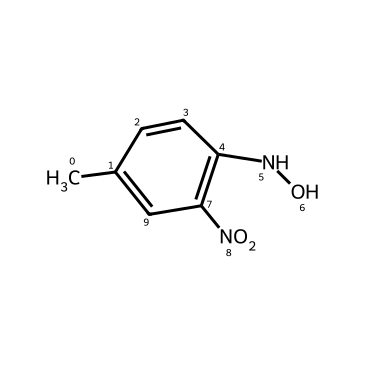 Cc1ccc(NO)c([N+](=O)[O-])c1